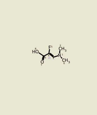 CN(C)/C=C(\F)C(=O)O